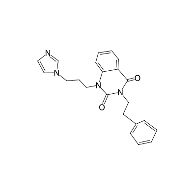 O=c1c2ccccc2n(CCCn2ccnc2)c(=O)n1CCc1ccccc1